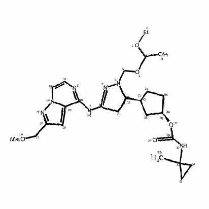 CCOC(O)OCN1N=C(Nc2nccn3nc(COC)cc23)CC1[C@H]1CC[C@@H](OC(=O)NC2(C)CC2)C1